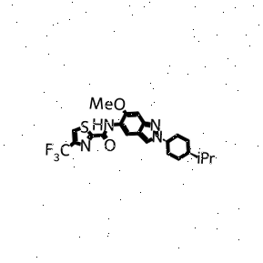 COc1cc2nn([C@H]3CC[C@H](C(C)C)CC3)cc2cc1NC(=O)c1nc(C(F)(F)F)cs1